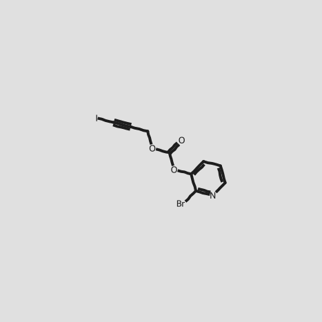 O=C(OCC#CI)Oc1cccnc1Br